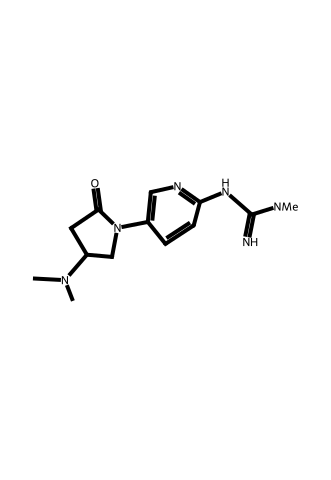 CNC(=N)Nc1ccc(N2CC(N(C)C)CC2=O)cn1